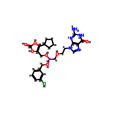 Nc1nc2c(ncn2CCOCP(OCc2cccc(Cl)c2)OCc2oc(=O)oc2C2CCCC2)c(=O)[nH]1